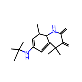 C=C(NC1C=CC(NC(C)(C)C)=CC1C)C(=C)C(C)(C)C